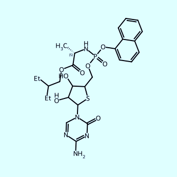 CCC(CC)COC(=O)[C@H](C)NP(=O)(OCC1SC(n2cnc(N)nc2=O)C(O)C1O)Oc1cccc2ccccc12